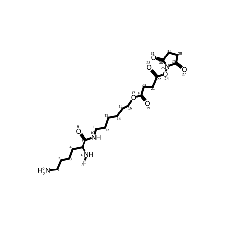 NCCCCC(NF)C(=O)NCCCCCCOC(=O)CCC(=O)ON1C(=O)CCC1=O